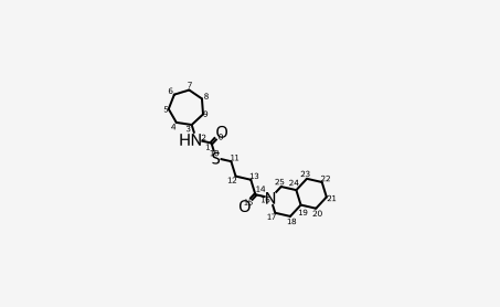 O=C(NC1CCCCCC1)SCCCC(=O)N1CCC2CCCCC2C1